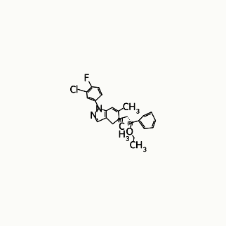 CCO[C@H](C[C@@]1(C)Cc2cnn(-c3ccc(F)c(Cl)c3)c2C=C1C)c1ccccc1